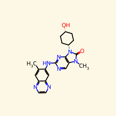 Cc1cc2nccnc2cc1Nc1ncc2c(n1)n([C@H]1CC[C@@H](O)CC1)c(=O)n2C